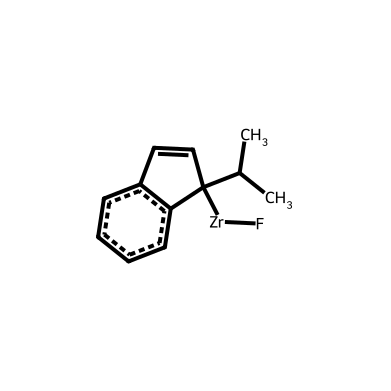 CC(C)[C]1([Zr][F])C=Cc2ccccc21